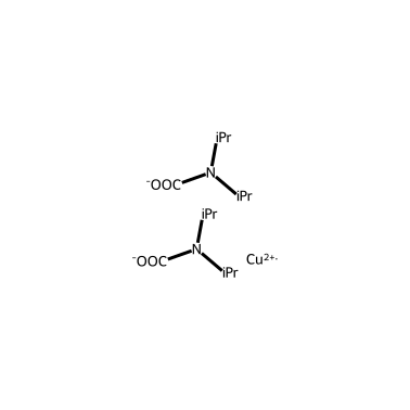 CC(C)N(C(=O)[O-])C(C)C.CC(C)N(C(=O)[O-])C(C)C.[Cu+2]